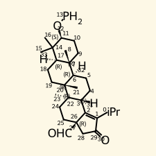 CC(C)C1=C2[C@H]3CC[C@@H]4[C@@]5(C)CC[C@H](OP)C(C)(C)[C@@H]5CC[C@@]4(C)[C@]3(C)CC[C@@]2(C=O)CC1=O